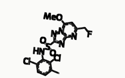 COc1cc(CF)nc2nc(S(=O)(=O)Nc3c(Cl)ccc(C)c3Cl)nn12